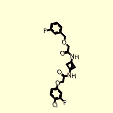 O=C(COCc1cccc(F)c1)NC12CC(NC(=O)COc3ccc(Cl)c(F)c3)(C1)C2